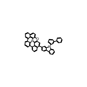 c1ccc(-c2cccc(-n3c4ccccc4c4ccc(-c5cc6oc7ccc8cccc9c%10cccc%11c%12cccc5c%12c6n(c%10%11)c7c89)cc43)c2)cc1